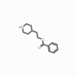 O=C(OCCC1CCNCC1)c1ccccc1